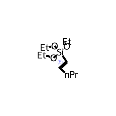 CCC/C=C/[Si](OCC)(OCC)OCC